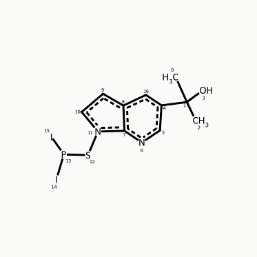 CC(C)(O)c1cnc2c(ccn2SP(I)I)c1